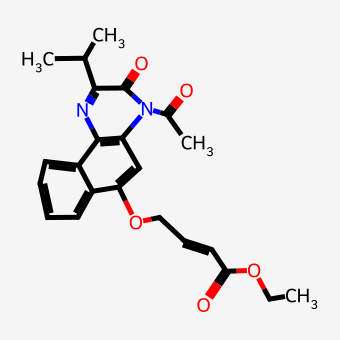 CCOC(=O)/C=C/COc1cc2c(nc(C(C)C)c(=O)n2C(C)=O)c2ccccc12